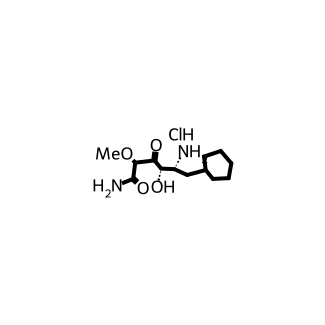 COC(C(N)=O)C(=O)[C@@H](O)[C@H](N)CC1CCCCC1.Cl